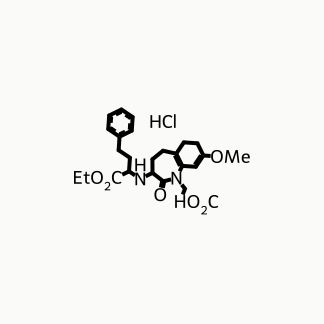 CCOC(=O)C(CCc1ccccc1)NC1CCC2=C(C=C(OC)CC2)N(CC(=O)O)C1=O.Cl